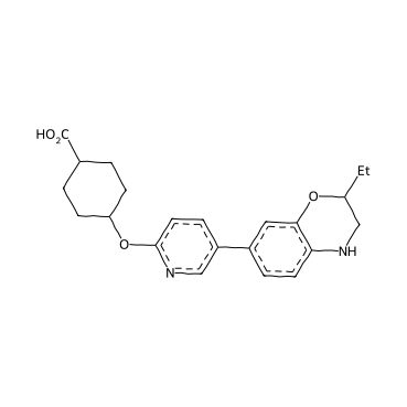 CCC1CNc2ccc(-c3ccc(OC4CCC(C(=O)O)CC4)nc3)cc2O1